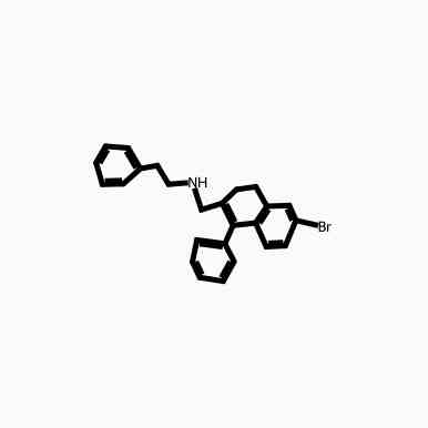 Brc1ccc2c(c1)CCC(CNCCc1ccccc1)=C2c1ccccc1